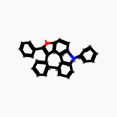 c1ccc(-c2oc3ccc4c5c3c2-c2ccccc2-c2cccc(c25)n4-c2ccccc2)cc1